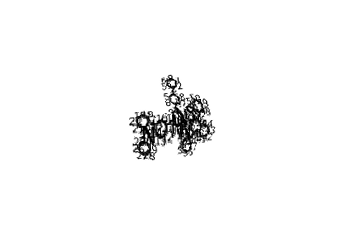 c1ccc(-c2ccc(-c3cc(-c4ccc5c(c4)c4ccccc4n5-c4ccccc4)nc(-n4c5ccccc5c5c6ccccc6c6c7ccccc7sc6c54)n3)cc2)cc1